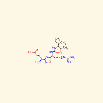 CCC(C)[C@H](NC(=O)N[C@@H](CCCNC(=N)N)c1nc([C@@H](N)CCC(=O)O)no1)C(C)=O